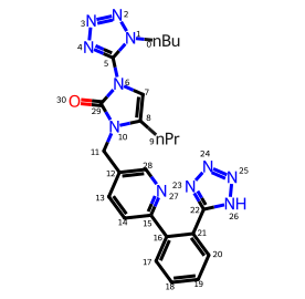 CCCCn1nnnc1-n1cc(CCC)n(Cc2ccc(-c3ccccc3-c3nnn[nH]3)nc2)c1=O